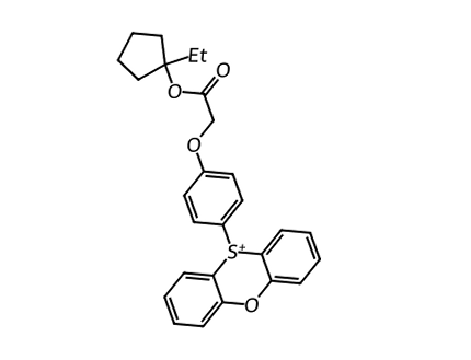 CCC1(OC(=O)COc2ccc([S+]3c4ccccc4Oc4ccccc43)cc2)CCCC1